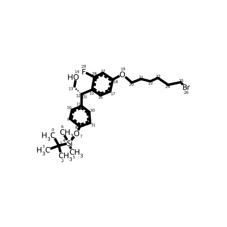 CC(C)(C)[Si](C)(C)Oc1ccc([C@H](CO)c2ccc(OCCCCCCBr)cc2F)cc1